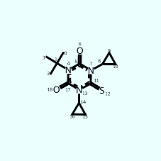 CC(C)(C)n1c(=O)n(C2CC2)c(=S)n(C2CC2)c1=O